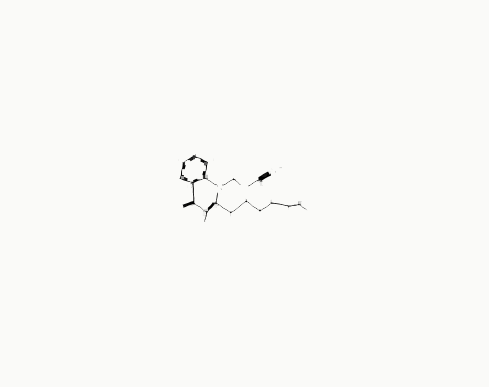 C=C1C(C)=C(CCCCCCC)N(CSC#N)c2ccccc21